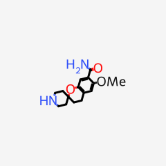 COc1cc2c(cc1C(N)=O)OC1(CCNCC1)CC2